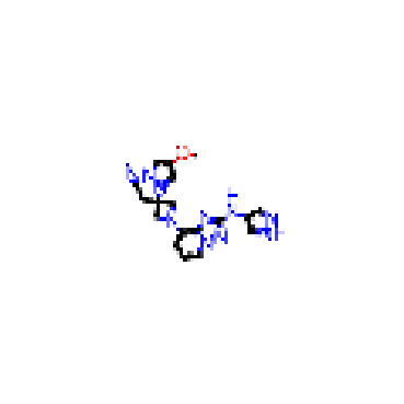 COc1cnn(C2(CC#N)CN(c3cccn4nc(Nc5cn[nH]c5)nc34)C2)c1